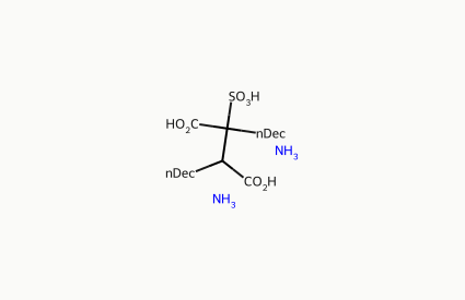 CCCCCCCCCCC(C(=O)O)C(CCCCCCCCCC)(C(=O)O)S(=O)(=O)O.N.N